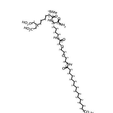 CN[C@@H](CCCCN(CC(=O)O)CC(=O)O)C(=O)N[C@@H](CCCCNC(=O)COCCOCCNC(=O)CCCCCCCCCCCCCCC(=O)O)C(N)=O